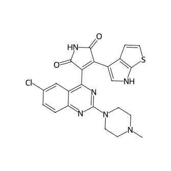 CN1CCN(c2nc(C3=C(c4c[nH]c5sccc45)C(=O)NC3=O)c3cc(Cl)ccc3n2)CC1